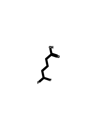 O=C(O)CCCC(F)F